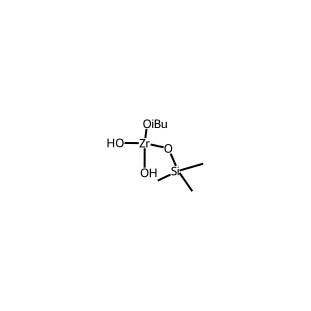 CC(C)C[O][Zr]([OH])([OH])[O][Si](C)(C)C